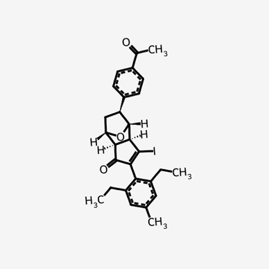 CCc1cc(C)cc(CC)c1C1=C(I)[C@@H]2[C@@H]3O[C@@H](C[C@H]3c3ccc(C(C)=O)cc3)[C@@H]2C1=O